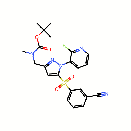 CN(Cc1cc(S(=O)(=O)c2cccc(C#N)c2)n(-c2cccnc2F)n1)C(=O)OC(C)(C)C